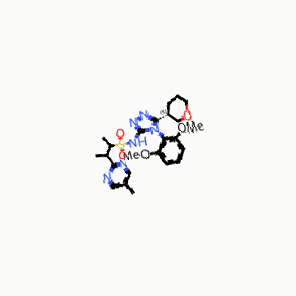 COc1cccc(OC)c1-n1c(NS(=O)(=O)C(C)C(C)c2ncc(C)cn2)nnc1[C@@H]1CCCOC1